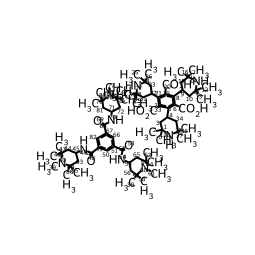 CC1(C)CC(c2c(C(=O)O)c(C3CC(C)(C)NC(C)(C)C3)c(C(=O)O)c(C3CC(C)(C)NC(C)(C)C3)c2C(=O)O)CC(C)(C)N1.CN1C(C)(C)CC(NC(=O)c2cc(C(=O)NC3CC(C)(C)N(C)C(C)(C)C3)cc(C(=O)NC3CC(C)(C)N(C)C(C)(C)C3)c2)CC1(C)C